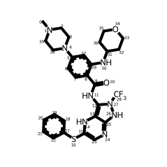 CN1CCN(c2ccc(C(=O)NC3=C4NC(Sc5ccccc5)=CN=C4NN3C(F)(F)F)c(NC3CCOCC3)c2)CC1